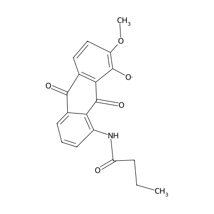 CCCC(=O)Nc1cccc2c1C(=O)c1c(ccc(OC)c1[O])C2=O